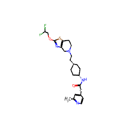 Cc1cc(CC(=O)N[C@H]2CC[C@H](CCN3CCc4sc(OCC(F)F)nc4C3)CC2)ccn1